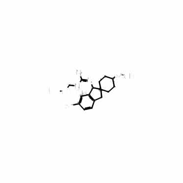 COCN(C)/C(N)=N\C1c2cc(Br)ccc2CC12CCC(OC)CC2